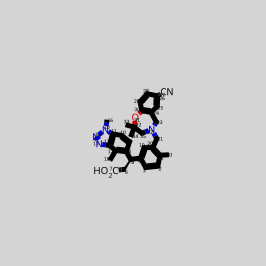 Cc1ccc([C@@H](CC(=O)O)c2ccc3c(nnn3C)c2C)cc1CN1Cc2cc(C#N)ccc2OC(C)(C)C1